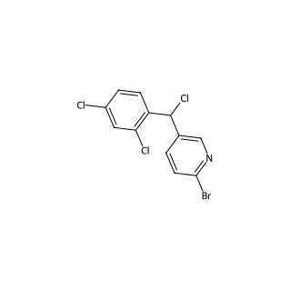 Clc1ccc(C(Cl)c2ccc(Br)nc2)c(Cl)c1